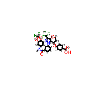 CN(C(=O)c1cccc(-n2nc(C(F)(F)F)c3c2C(Oc2ccc(C(=O)O)cc2)CCO3)c1)c1ccc2c(c1)OC(F)(F)O2